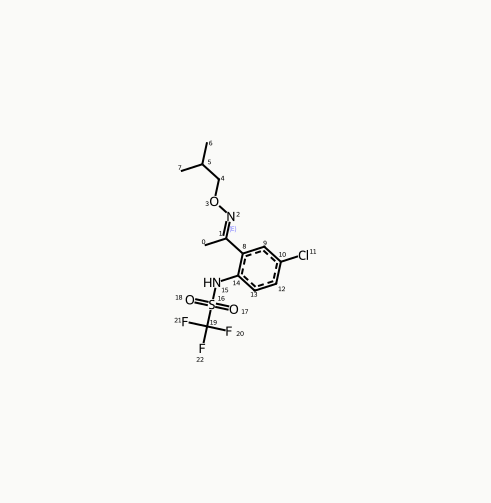 C/C(=N\OCC(C)C)c1cc(Cl)ccc1NS(=O)(=O)C(F)(F)F